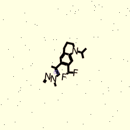 C=NN(C)/C=C(\C)c1cc2c(cc1C(F)F)N(C(C)C)CCC2